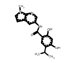 CC(C)c1cc(C(=O)Nc2cnc3c(ccn3C)c2)c(O)cc1O